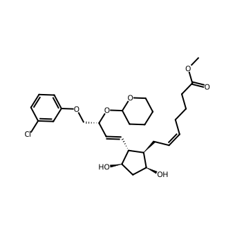 COC(=O)CCC/C=C\C[C@@H]1[C@@H](/C=C/[C@H](COc2cccc(Cl)c2)OC2CCCCO2)[C@H](O)C[C@@H]1O